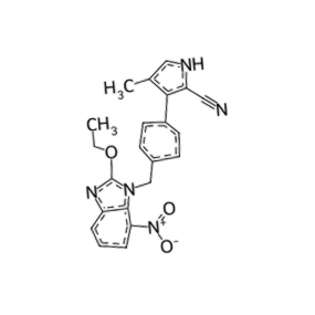 CCOc1nc2cccc([N+](=O)[O-])c2n1Cc1ccc(-c2c(C)c[nH]c2C#N)cc1